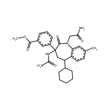 COC(=O)c1cccc(C2(NC(N)=O)CC(C3CCCCC3)c3ccc(C)cc3N(CC(N)=O)C2=O)c1